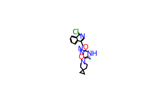 C[C@H](Nc1nnc(-c2cnc(Cl)c3ccccc23)o1)C(=O)N1CCC2(CC1)CC2